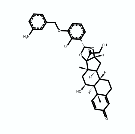 C[C@]12C=CC(=O)C=C1CC[C@@H]1[C@@H]2[C@@H](O)C[C@@]2(C)[C@H]1C[C@H]1O[C@@H](c3cccc(OCc4cccc(N)c4)c3Br)O[C@]12C(=O)CO